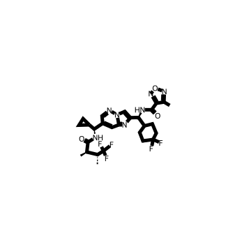 Cc1nonc1C(=O)N[C@H](c1cn2ncc([C@H](NC(=O)[C@H](C)[C@@H](C)C(F)(F)F)C3CC3)cc2n1)C1CCC(F)(F)CC1